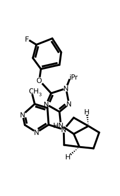 Cc1cc(N2C[C@H]3CC[C@@H](C2)C3Nc2nc(Oc3cccc(F)c3)n(C(C)C)n2)ncn1